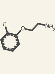 NCCOc1ccccc1F